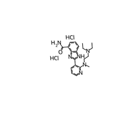 CCN(CC)CCN(C)c1ncccc1-c1nc2c(C(N)=O)cccc2[nH]1.Cl.Cl